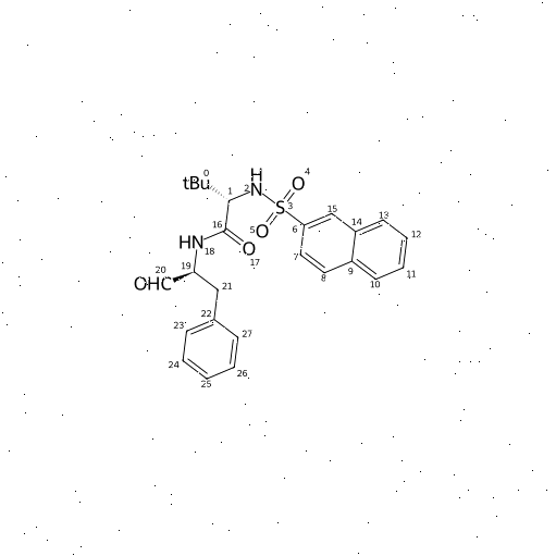 CC(C)(C)[C@H](NS(=O)(=O)c1ccc2ccccc2c1)C(=O)N[C@H](C=O)Cc1ccccc1